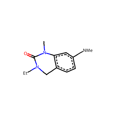 CCN1Cc2ccc(NC)cc2N(C)C1=O